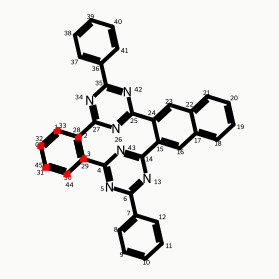 c1ccc(-c2nc(-c3ccccc3)nc(-c3cc4ccccc4cc3-c3nc(-c4ccccc4)nc(-c4ccccc4)n3)n2)cc1